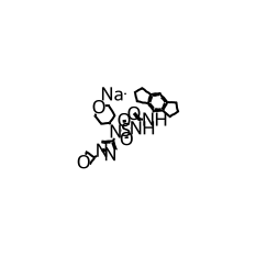 O=C(Nc1c2c(cc3c1CCC3)CCC2)NS(=O)(=O)N(c1cnn(C2COC2)c1)C1CCOCC1.[Na]